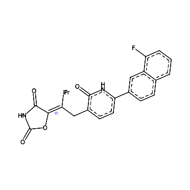 CC(C)/C(Cc1ccc(-c2ccc3cccc(F)c3c2)[nH]c1=O)=C1/OC(=O)NC1=O